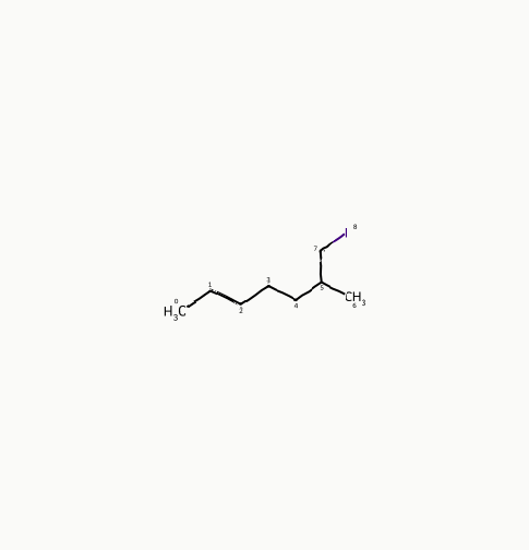 CCCCCC(C)[CH]I